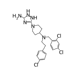 NC1N=C(N2CCC(N(CCc3ccc(Cl)cc3)Cc3ccc(Cl)cc3Cl)CC2)NN1